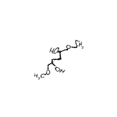 CCOCC(O)CCC(O)COC